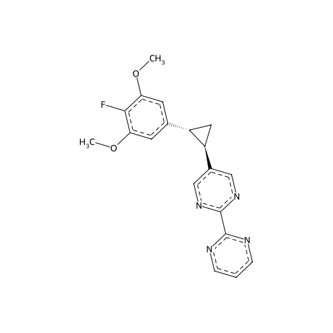 COc1cc([C@@H]2C[C@H]2c2cnc(-c3ncccn3)nc2)cc(OC)c1F